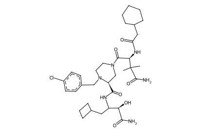 CC(C)(C(N)=O)[C@H](NC(=O)[CH]C1CCCCC1)C(=O)N1CCN(Cc2ccc(Cl)cc2)[C@H](C(=O)NC(CC2CCC2)[C@@H](O)C(N)=O)C1